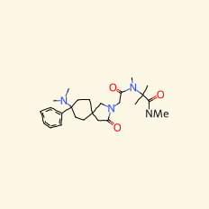 CNC(=O)C(C)(C)N(C)C(=O)CN1CC2(CCC(c3ccccc3)(N(C)C)CC2)CC1=O